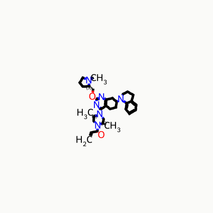 C=CC(=O)N1C[C@H](C)N(c2nc(OC[C@@H]3CCCN3C)nc3c2CCC(N2CCCc4ccccc42)C3)C[C@@H]1C